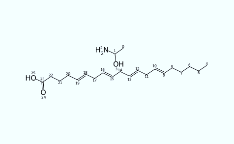 CC(N)O.CCCCCC=CCC=CCC=CCC=CCCCC(=O)O